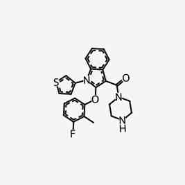 Cc1c(F)cccc1Oc1c(C(=O)N2CCNCC2)c2ccccc2n1-c1ccsc1